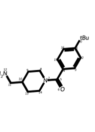 CC(C)(C)c1ccc(C(=O)N2CCC(CN)CC2)cc1